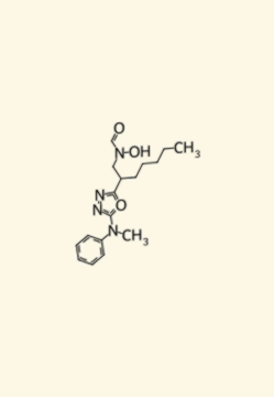 CCCCCC(CN(O)C=O)c1nnc(N(C)c2ccccc2)o1